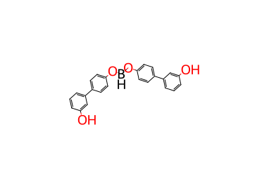 Oc1cccc(-c2ccc(OBOc3ccc(-c4cccc(O)c4)cc3)cc2)c1